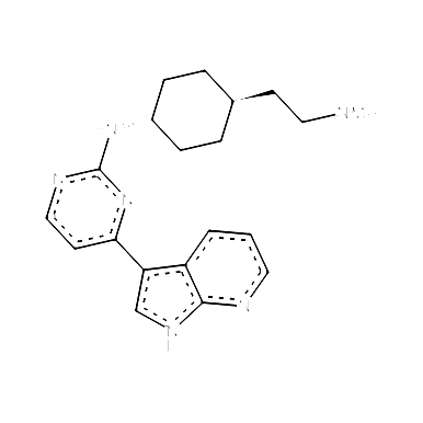 CNCC[C@H]1CC[C@H](Nc2nccc(-c3c[nH]c4ncccc34)n2)CC1